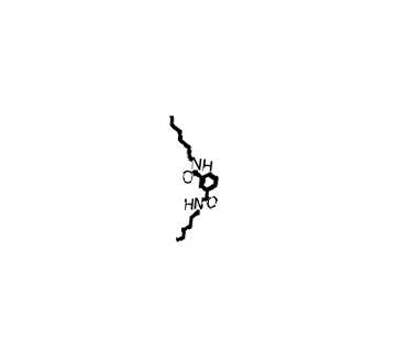 CCCCCCNC(=O)c1cccc(C(=O)NCCCCCC)c1